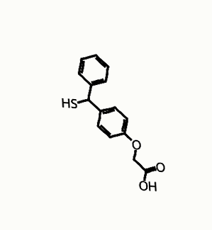 O=C(O)COc1ccc(C(S)c2ccccc2)cc1